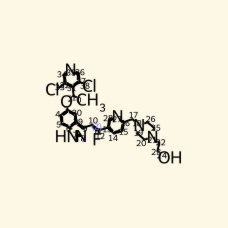 CC(Oc1ccc2[nH]nc(/C=C(\F)c3ccc(CN4CCN(CCO)CC4)nc3)c2c1)c1c(Cl)cncc1Cl